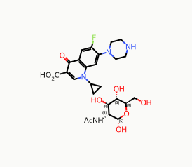 CC(=O)N[C@@H]1[C@@H](O)[C@H](O)[C@@H](CO)O[C@@H]1O.O=C(O)c1cn(C2CC2)c2cc(N3CCNCC3)c(F)cc2c1=O